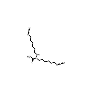 NC(=O)N(CCCCCCN=C=O)NCCCCCCN=C=O